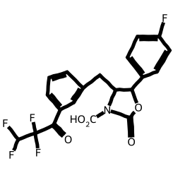 O=C(O)N1C(=O)OC(c2ccc(F)cc2)C1Cc1cccc(C(=O)C(F)(F)C(F)F)c1